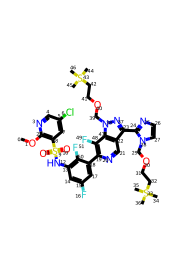 COc1ncc(Cl)cc1S(=O)(=O)Nc1cc(F)cc(-c2ncc3c(-c4nccn4COCCS(C)(C)C)nn(COCCS(C)(C)C)c3c2F)c1F